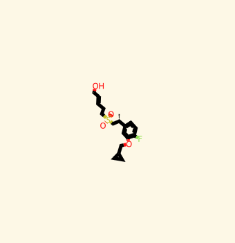 C[C@@H](CS(=O)(=O)CC/C=C/CO)c1ccc(F)c(OCC2CC2)c1